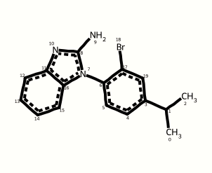 CC(C)c1ccc(-n2c(N)nc3ccccc32)c(Br)c1